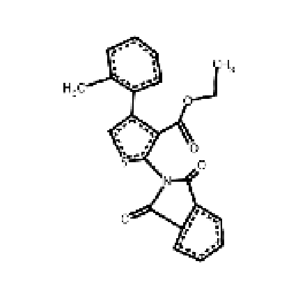 CCOC(=O)c1c(-c2ccccc2C)csc1N1C(=O)c2ccccc2C1=O